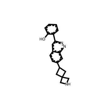 Oc1ccccc1-c1cc2ccc(C3CC4(CNC4)C3)cc2nn1